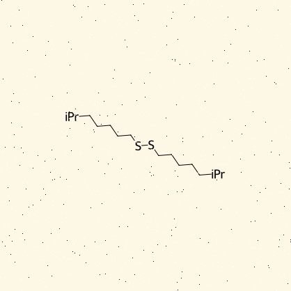 CC(C)CCCCCSSCCCCCC(C)C